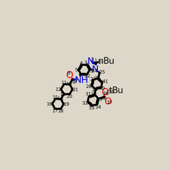 CCCCc1nc2ccc(NC(=O)C3CCC(C4CCCCC4)CC3)cc2n1Cc1ccc(-c2ccccc2C(=O)OC(C)(C)C)cc1